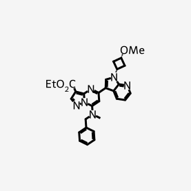 CCOC(=O)c1cnn2c(N(C)Cc3ccccc3)cc(-c3cn([C@H]4C[C@@H](OC)C4)c4ncccc34)nc12